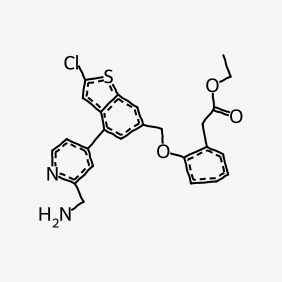 CCOC(=O)Cc1ccccc1OCc1cc(-c2ccnc(CN)c2)c2cc(Cl)sc2c1